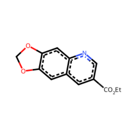 CCOC(=O)c1cnc2cc3c(cc2c1)OCO3